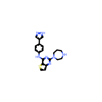 c1cc2nc(N3CCCNCC3)nc(Nc3ccc(-c4cn[nH]c4)cc3)c2s1